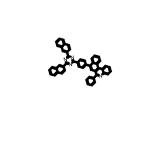 c1ccc(-c2nc3ccccc3c3c2cc(-c2ccc(-c4nc(-c5ccc6ccccc6c5)nc(-c5ccc6ccccc6c5)n4)cc2)c2ccccc23)cc1